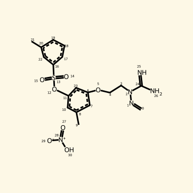 C=NN(CCOc1cc(C)cc(OS(=O)(=O)c2cccc(C)c2)c1)C(=N)N.O=[N+]([O-])O